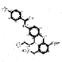 COc1ccc(CC(=O)O)cc1Oc1ccc(NC(=O)c2ccc(C(F)(F)F)cc2)cc1CSCC(F)(F)F